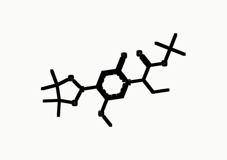 CCC(C(=O)OC(C)(C)C)n1cc(OC)c(B2OC(C)(C)C(C)(C)O2)cc1=O